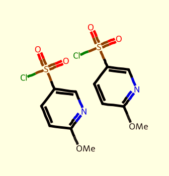 COc1ccc(S(=O)(=O)Cl)cn1.COc1ccc(S(=O)(=O)Cl)cn1